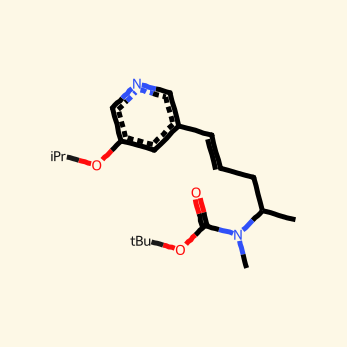 CC(C)Oc1cncc(/C=C/CC(C)N(C)C(=O)OC(C)(C)C)c1